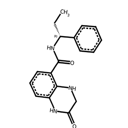 CC[C@@H](NC(=O)c1cccc2c1NCC(=O)N2)c1ccccc1